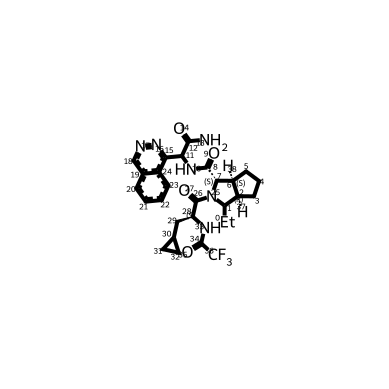 CCC1[C@@H]2CCC[C@@H]2[C@@H](C(=O)NC(C(N)=O)c2nncc3ccccc23)N1C(=O)[C@H](CC1CC1)NC(=O)C(F)(F)F